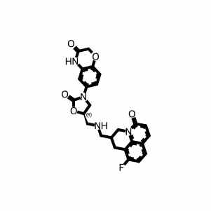 O=C1COc2ccc(N3C[C@@H](CNCC4Cc5c(F)ccc6ccc(=O)n(c56)C4)OC3=O)cc2N1